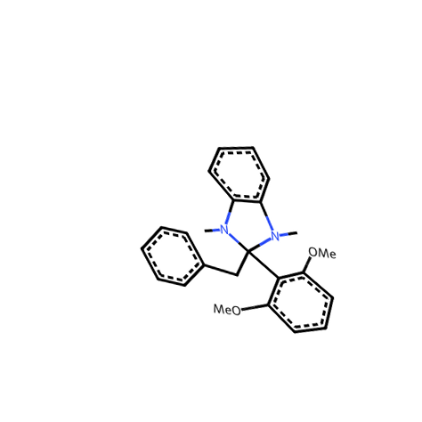 COc1cccc(OC)c1C1(Cc2ccccc2)N(C)c2ccccc2N1C